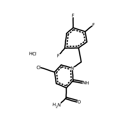 Cl.N=c1c(C(N)=O)cc(Cl)cn1Cc1cc(F)c(F)cc1F